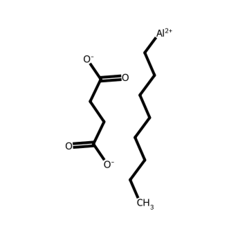 CCCCCCC[CH2][Al+2].O=C([O-])CCC(=O)[O-]